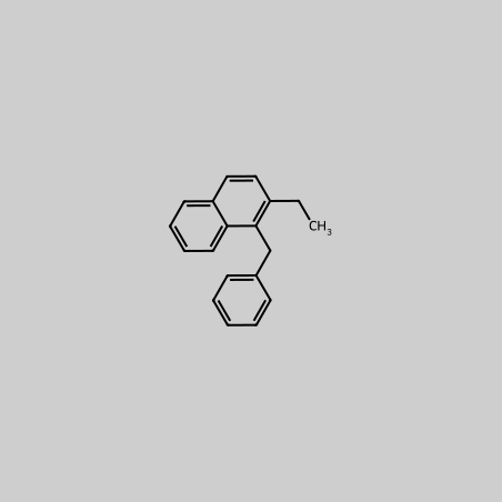 CCc1ccc2ccccc2c1Cc1ccccc1